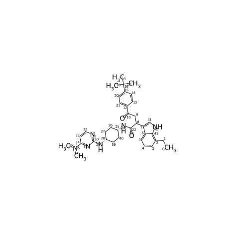 CCc1cccc2c(C(CC(=O)c3ccc(C(C)(C)C)cc3)C(=O)N[C@H]3CC[C@@H](Nc4nccc(N(C)C)n4)CC3)c[nH]c12